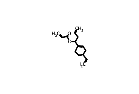 C=CCC(OC(=O)C=C)C1=CCC(C=C)CC1